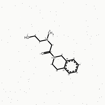 CN(CCO)CC(=O)N1CCc2ccccc2C1